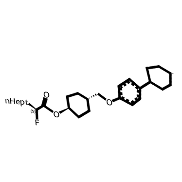 CCCCCCC[C@H](F)C(=O)O[C@H]1CC[C@H](COc2ccc(C3CC[CH]CC3)cc2)CC1